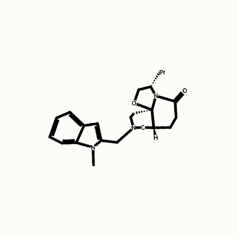 CC(C)[C@H]1CO[C@]23CCN(Cc4cc5ccccc5n4C)C[C@H]2CCC(=O)N13